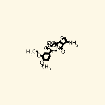 CCOc1cc([C@H](CN2C(=O)c3scc(N)c3C2=O)S(C)(=O)=O)ccc1OC